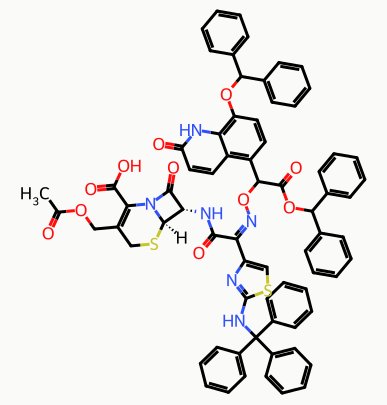 CC(=O)OCC1=C(C(=O)O)N2C(=O)[C@H](NC(=O)/C(=N\OC(C(=O)OC(c3ccccc3)c3ccccc3)c3ccc(OC(c4ccccc4)c4ccccc4)c4[nH]c(=O)ccc34)c3csc(NC(c4ccccc4)(c4ccccc4)c4ccccc4)n3)[C@H]2SC1